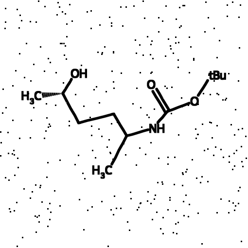 CC(CC[C@H](C)O)NC(=O)OC(C)(C)C